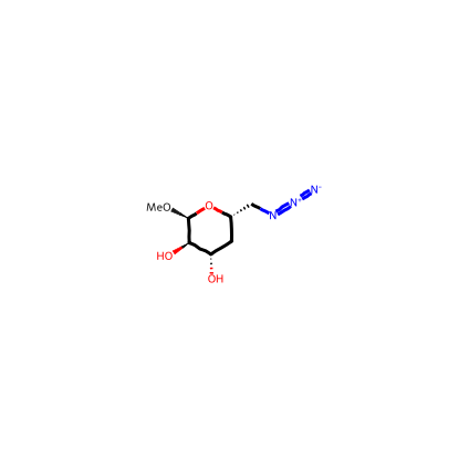 CO[C@H]1O[C@H](CN=[N+]=[N-])C[C@H](O)[C@H]1O